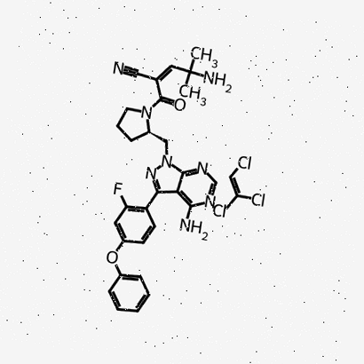 CC(C)(N)/C=C(/C#N)C(=O)N1CCC[C@@H]1Cn1nc(-c2ccc(Oc3ccccc3)cc2F)c2c(N)ncnc21.ClC=C(Cl)Cl